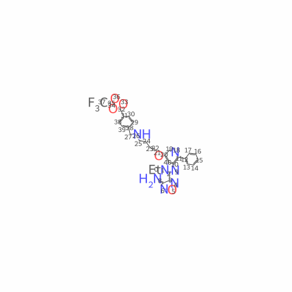 CCn1c(-c2nonc2N)nc2c(-c3ccccc3)ncc(OCCCCNCc3ccc(C(=O)OC(=O)C(F)(F)F)cc3)c21